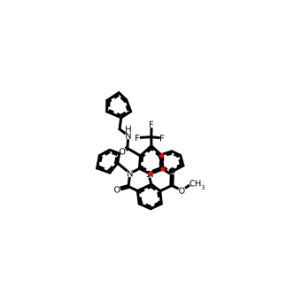 COC(=O)c1cccc(C(=O)N(c2ccccc2)c2nccc(C(F)(F)F)c2C(=O)NCc2ccccc2)c1Sc1ccccc1